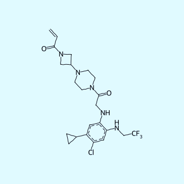 C=CC(=O)N1CC(N2CCN(C(=O)CNc3cc(C4CC4)c(Cl)cc3NCC(F)(F)F)CC2)C1